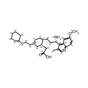 COc1ccc2ncc(F)c([C@@H](N)CC[C@@H]3CCN(CCSC4CCCCC4)C[C@@H]3CC(=O)O)c2c1